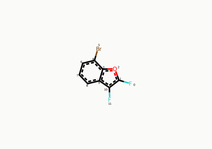 Fc1oc2c(Br)cccc2c1F